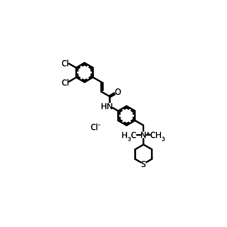 C[N+](C)(Cc1ccc(NC(=O)C=Cc2ccc(Cl)c(Cl)c2)cc1)C1CCSCC1.[Cl-]